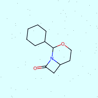 O=C1CC2CCOC(C3CCCCC3)N12